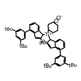 CC(C)C1=Cc2c(-c3cc(C(C)(C)C)cc(C(C)(C)C)c3)cccc2[CH]1[Ti+2]1([CH]2C(C(C)C)=Cc3c(-c4cc(C(C)(C)C)cc(C(C)(C)C)c4)cccc32)[CH]2CCCC[CH]21.[Cl-].[Cl-]